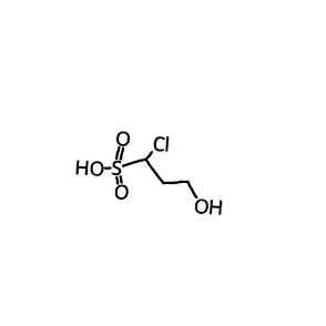 O=S(=O)(O)C(Cl)CCO